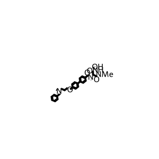 CNC(=O)C(C(=O)NO)N(C)C(=O)c1ccc(-c2ccc(OCCCN(C)Cc3ccccc3)cc2)cc1